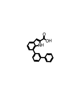 O=C(O)c1cc2cccc(-c3cccc(-c4ccccc4)c3)c2[nH]1